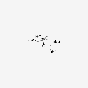 C=CCP(=O)(O)OC(CCC)CCCC